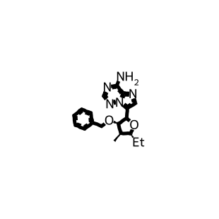 CC[C@H]1OC(c2cnc3c(N)ncnn23)[C@H](OCc2ccccc2)[C@@H]1C